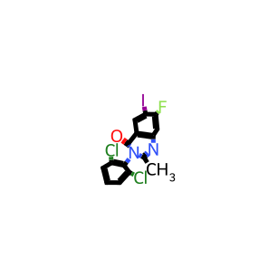 Cc1nc2cc(F)c(I)cc2c(=O)n1-c1c(Cl)cccc1Cl